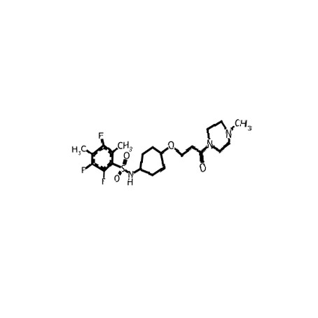 Cc1c(F)c(C)c(S(=O)(=O)NC2CCC(OCCC(=O)N3CCN(C)CC3)CC2)c(F)c1F